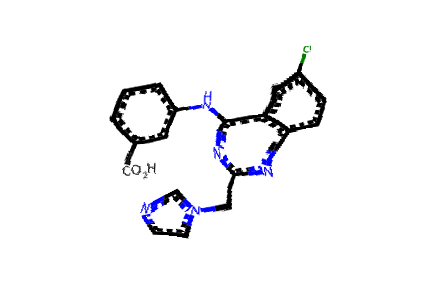 O=C(O)c1cccc(Nc2nc(Cn3ccnc3)nc3ccc(Cl)cc23)c1